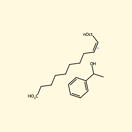 CC(O)c1ccccc1.CCCCCCCC/C=C\CCCCCCCC(=O)O